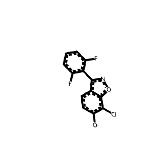 [O]c1ccc2c(-c3c(F)cccc3F)noc2c1Cl